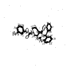 Nc1nc2c(c(=O)n1C(c1ccccc1)c1ccccc1)CCN(C(=O)Oc1cccc(Br)c1)C2